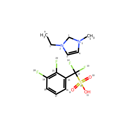 CCN1C=CN(C)C1.O=S(=O)(O)C(F)(F)c1cccc(F)c1F